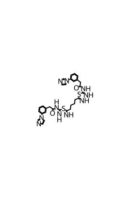 N=C(CCCCC(=N)SC(=N)NC(=O)Cc1cccc(-n2ccnc2)c1)SC(=N)NC(=O)Cc1cccc(-n2ccnc2)c1